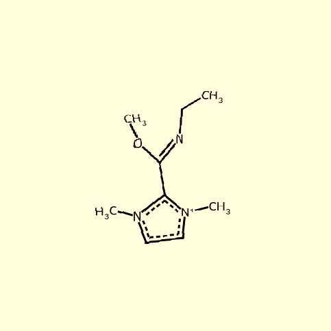 CC/N=C(\OC)c1n(C)cc[n+]1C